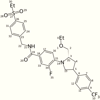 CCOC[C@@H]1CC(c2ccc(C(F)(F)F)cc2)CN1c1ccc(C(=O)NCc2ccc(S(=O)(=O)CC)cc2)cc1F